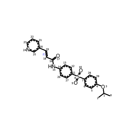 CC(C)Oc1ccc(S(=O)(=O)c2ccc(NC(=O)/C=C/c3cccnc3)cc2)cc1